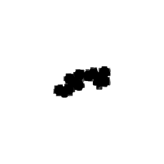 CC(C)(C)C12c3c(ccc4cc(-c5cccc(-c6c7ccccc7c(-c7ccc8oc9ccccc9c8c7)c7ccccc67)c5)ccc34)-c3c1c1c(cccc1c1ccccc31)C2(C)C